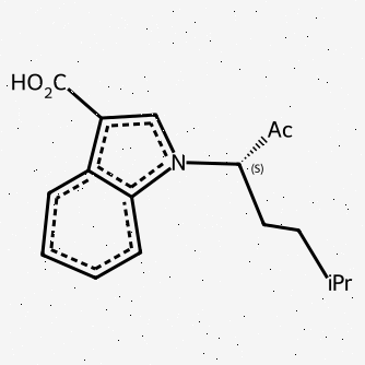 CC(=O)[C@H](CCC(C)C)n1cc(C(=O)O)c2ccccc21